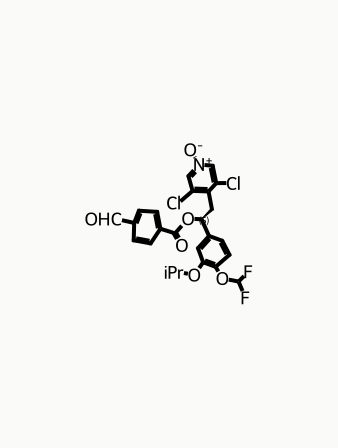 CC(C)Oc1cc([C@H](Cc2c(Cl)c[n+]([O-])cc2Cl)OC(=O)c2ccc(C=O)cc2)ccc1OC(F)F